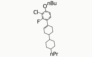 CCCCOc1ccc(C2=CCC(C3CCC(CCC)CC3)CC2)c(F)c1Cl